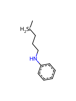 C[SiH2]CCCNc1ccccc1